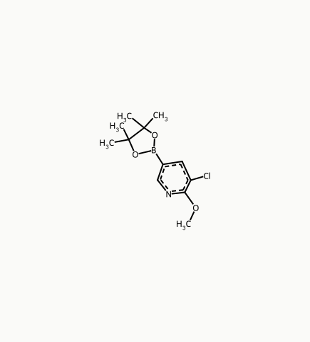 COc1ncc(B2OC(C)(C)C(C)(C)O2)cc1Cl